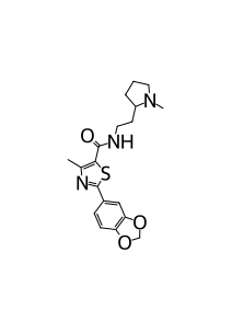 Cc1nc(-c2ccc3c(c2)OCO3)sc1C(=O)NCCC1CCCN1C